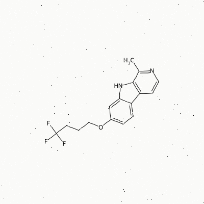 Cc1nccc2c1[nH]c1cc(OCCCC(F)(F)F)ccc12